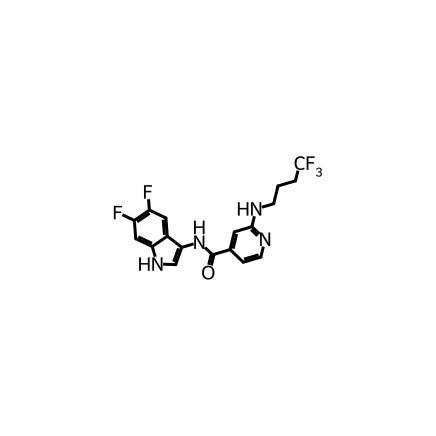 O=C(Nc1c[nH]c2cc(F)c(F)cc12)c1ccnc(NCCCC(F)(F)F)c1